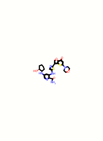 NC(=O)c1ncc(N[C@@H]2CCCC[C@@H]2O)cc1Nc1cnc(-c2coc3c(=O)cc(N4CCOCC4)sc23)s1